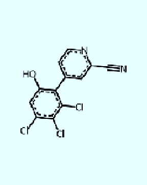 N#Cc1cc(-c2c(O)cc(Cl)c(Cl)c2Cl)ccn1